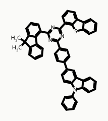 CC1(C)c2ccccc2-c2c(-c3nc(-c4ccc(-c5ccc6c(c5)c5ccccc5n6-c5ccccc5)cc4)nc(-c4cccc5c4sc4ccccc45)n3)cccc21